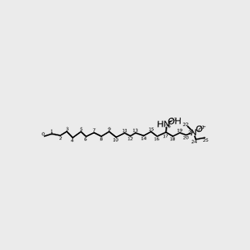 CCCCCCCCCCCCCCCCCC(CCC[N+](C)([O-])CC)NO